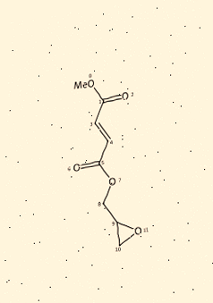 COC(=O)/C=C/C(=O)OCC1CO1